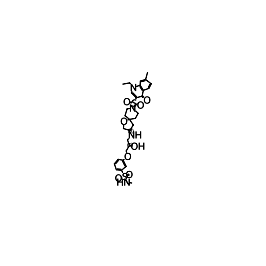 CCn1cc(S(=O)(=O)N2CCC3(CC2)C[C@@H](NC[C@H](O)COc2cccc(S(=O)(=O)NC)c2)CO3)c(=O)c2ccc(C)cc21